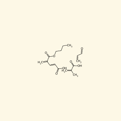 C=C(C)C(=O)O.C=C(C=CC(=O)O)C(=O)OCCCC.C=CC=O